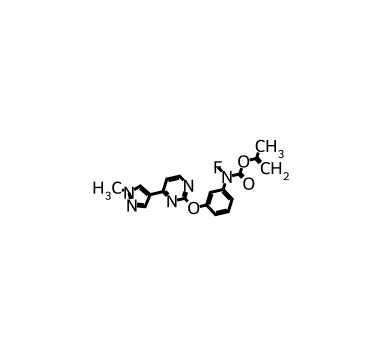 C=C(C)OC(=O)N(F)c1cccc(Oc2nccc(-c3cnn(C)c3)n2)c1